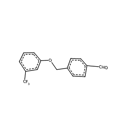 O=Cc1ccc(COc2cccc(C(F)(F)F)c2)cc1